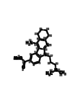 COC(=O)c1ccc2c(c1)c1c(N)c3c(nc1n2CCCN(C)C)CCCC3